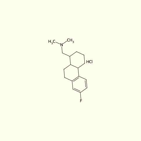 CN(C)CC1CCCC2c3ccc(F)cc3CCC12.Cl